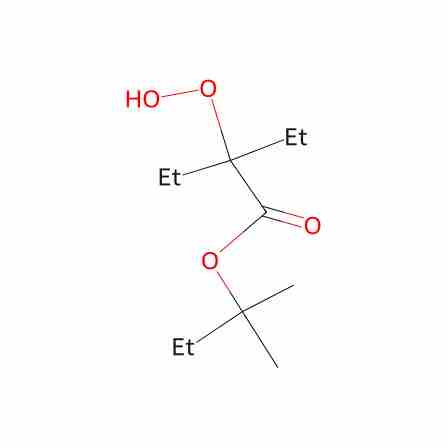 CCC(C)(C)OC(=O)C(CC)(CC)OO